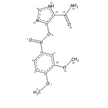 COc1ccc(C(=O)Oc2nc[nH]c2C(N)=O)cc1OC